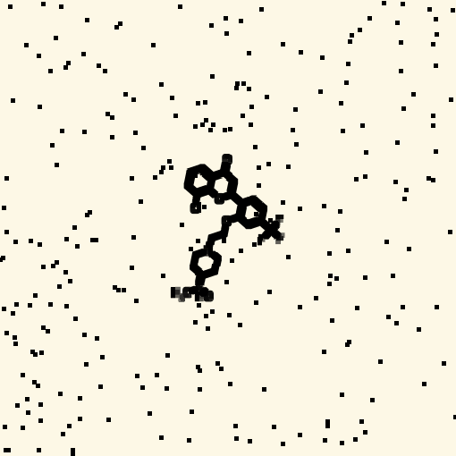 C[SH](=O)=C1CCN(CCOc2cc(C(F)(F)F)ccc2-c2cc(=O)c3cccc(Cl)c3o2)CC1